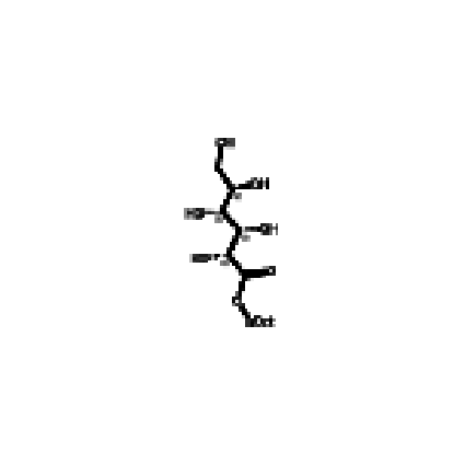 CCCCCCCCOC(=O)[C@H](O)[C@@H](O)[C@H](O)[C@H](O)CO